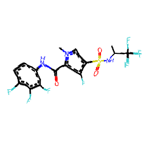 CC(NS(=O)(=O)c1cn(C)c(C(=O)Nc2ccc(F)c(F)c2F)c1F)C(F)(F)F